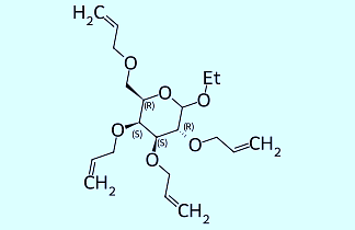 C=CCOC[C@H]1OC(OCC)[C@H](OCC=C)[C@@H](OCC=C)[C@H]1OCC=C